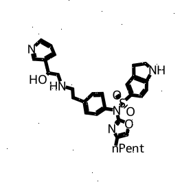 CCCCCc1coc(N(c2ccc(CCNCC(O)c3cccnc3)cc2)S(=O)(=O)c2ccc3c(c2)CCN3)n1